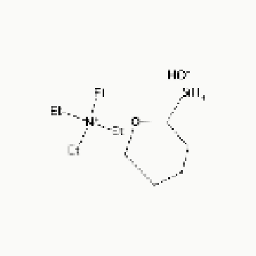 CC[N+](CC)(CC)CC.[OH-].[SiH3]C1CCCCO1